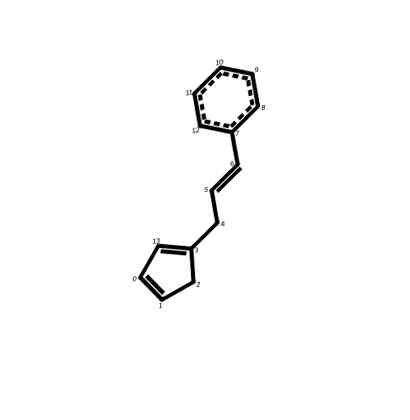 C1=CCC(C/C=C/c2ccccc2)=C1